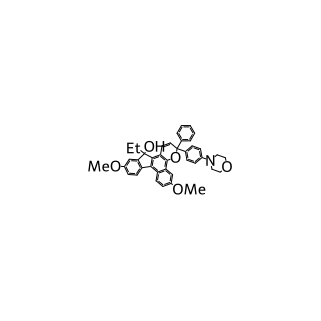 CCC1(O)c2cc(OC)ccc2-c2c1c1c(c3cc(OC)ccc23)OC(c2ccccc2)(c2ccc(N3CCOCC3)cc2)C=C1